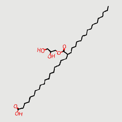 CCCCCCCCCCCCCCCCC(CCCCCCCCCCCCCCCCCC(=O)O)C(=O)OCC(O)CO